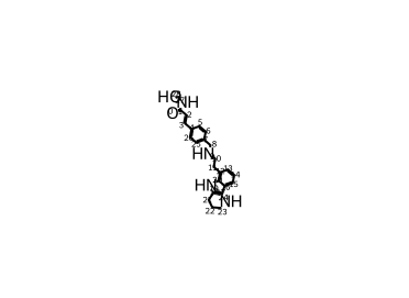 O=C(/C=C/c1ccc(CNCCc2cccc3c4c([nH]c23)CCCN4)cc1)NO